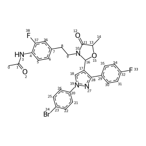 CC(=O)Nc1ccc(CCN2C(=O)C(C)OC2c2cn(-c3ccc(Br)cc3)nc2-c2ccc(F)cc2)cc1F